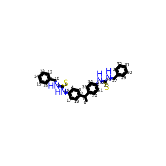 CC(c1ccc(NC(=S)NCc2ccccc2)cc1)c1ccc(NC(=S)NCc2ccccc2)cc1